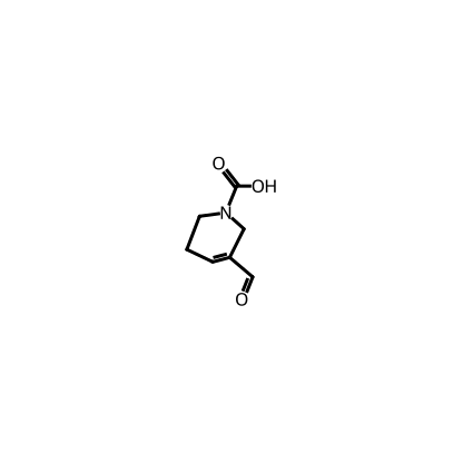 O=CC1=CCCN(C(=O)O)C1